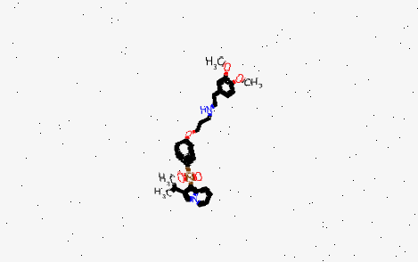 COc1ccc(CCNCCCOc2ccc(S(=O)(=O)c3c(C(C)C)cn4ccccc34)cc2)cc1OC